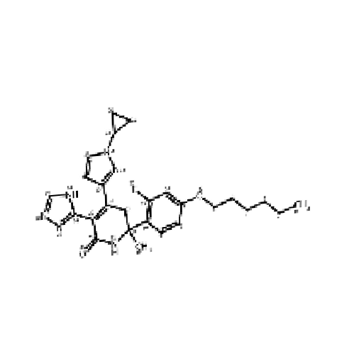 CCCCCCOc1ccc(C2(C)CC(c3ccn(C4CC4)n3)=C(c3nnc[nH]3)C(=O)N2)c(F)c1